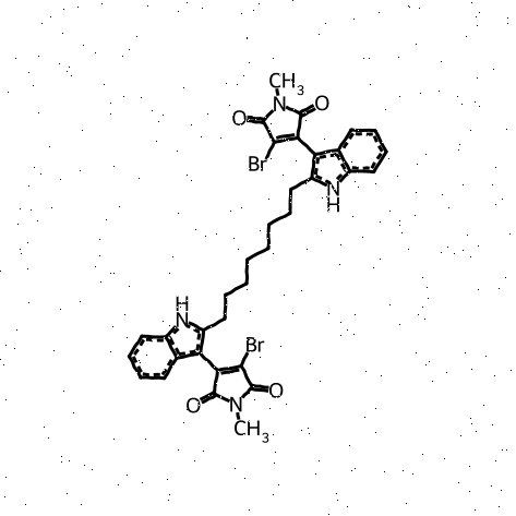 CN1C(=O)C(Br)=C(c2c(CCCCCCCCc3[nH]c4ccccc4c3C3=C(Br)C(=O)N(C)C3=O)[nH]c3ccccc23)C1=O